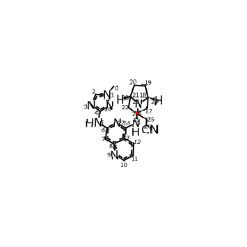 Cn1cnc(Nc2cc3ncccc3c(N[C@@H]3C[C@H]4CC[C@@H](C3)N4CCC#N)n2)n1